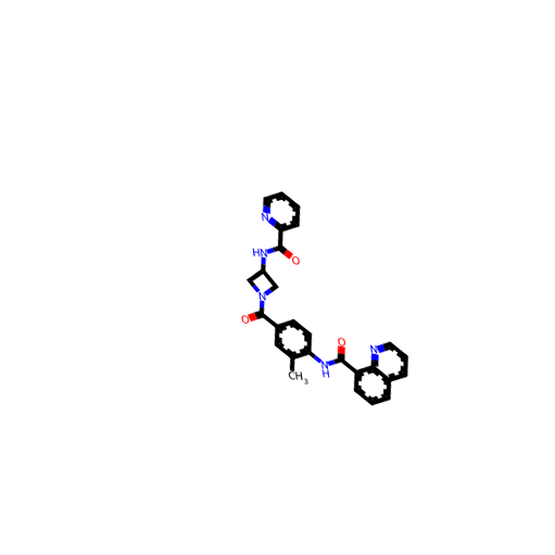 Cc1cc(C(=O)N2CC(NC(=O)c3ccccn3)C2)ccc1NC(=O)c1cccc2cccnc12